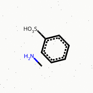 CN.O=S(=O)(O)c1ccccc1